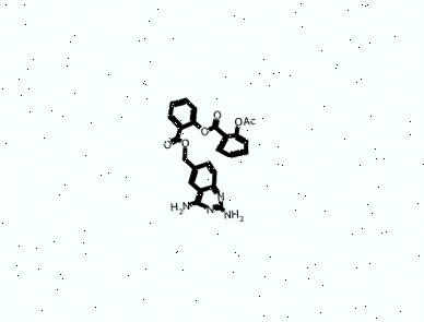 CC(=O)Oc1ccccc1C(=O)Oc1ccccc1C(=O)OCc1ccc2nc(N)nc(N)c2c1